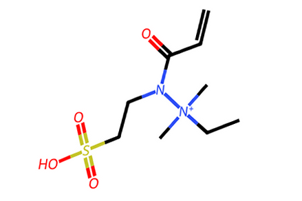 C=CC(=O)N(CCS(=O)(=O)O)[N+](C)(C)CC